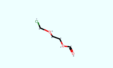 O=COCCOCCl